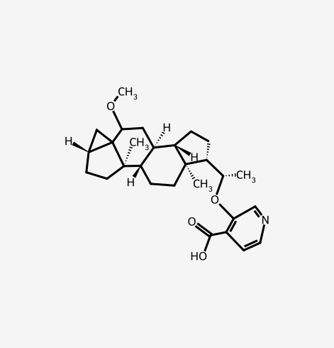 COC1C[C@H]2[C@@H]3CC[C@H]([C@H](C)Oc4cnccc4C(=O)O)[C@@]3(C)CC[C@@H]2[C@@]2(C)CC[C@@H]3CC132